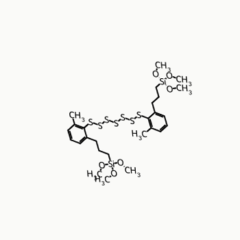 CO[Si](CCCc1cccc(C)c1SSSSSSSc1c(C)cccc1CCC[Si](OC)(OC)OC)(OC)OC